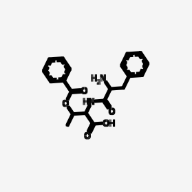 CC(OC(=O)c1ccccc1)C(NC(=O)C(N)Cc1ccccc1)C(=O)O